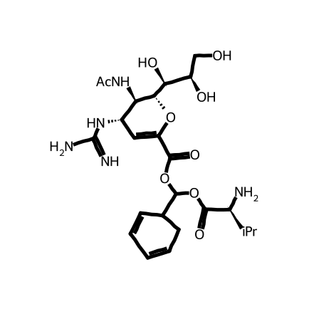 CC(=O)N[C@H]1[C@H]([C@@H](O)[C@H](O)CO)OC(C(=O)OC(OC(=O)[C@@H](N)C(C)C)C2C=CC=CC2)=C[C@@H]1NC(=N)N